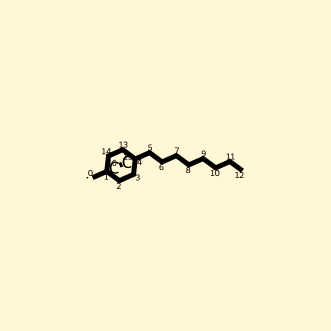 [CH2]C12CCC(CCCCCCCC)(CC1)CC2